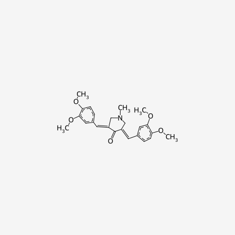 COc1ccc(/C=C2\CN(C)C/C(=C\c3ccc(OC)c(OC)c3)C2=O)cc1OC